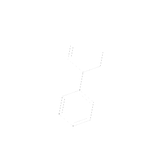 O=[S+]C(CCl)c1ccccc1